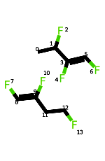 CC(F)C(F)=CF.FC=C(F)CCF